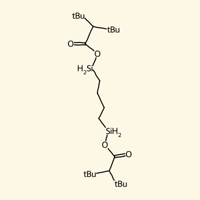 CC(C)(C)C(C(=O)O[SiH2]CCCC[SiH2]OC(=O)C(C(C)(C)C)C(C)(C)C)C(C)(C)C